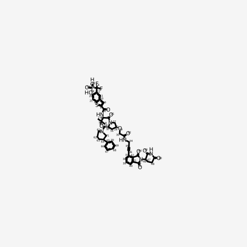 CC(C)(C)[C@H](NC(=O)c1cc2cc(C(F)(F)P(=O)(O)O)ccc2s1)C(=O)N1C[C@@H](OCC(=O)NCC#Cc2cccc3c2C(=O)N(C2CCC(=O)NC2=O)C3=O)C[C@H]1C(=O)N1CCCC(c2ccccc2)C1